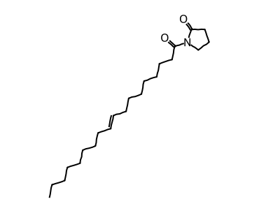 CCCCCCCCC=CCCCCCCCC(=O)N1CCCC1=O